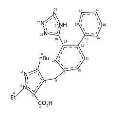 CCCCc1nn(CC)c(C(=O)O)c1Cc1ccc(-c2ccccc2)c(-c2nnn[nH]2)c1